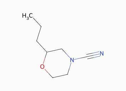 CCCC1CN(C#N)CCO1